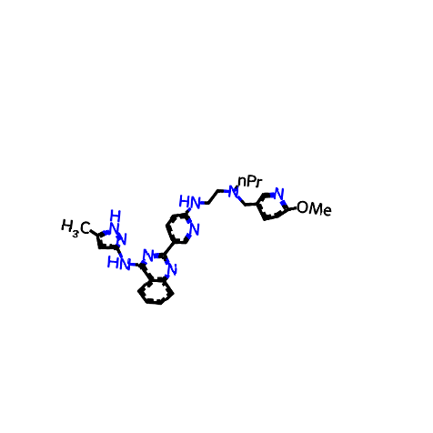 CCCN(CCNc1ccc(-c2nc(Nc3cc(C)[nH]n3)c3ccccc3n2)cn1)Cc1ccc(OC)nc1